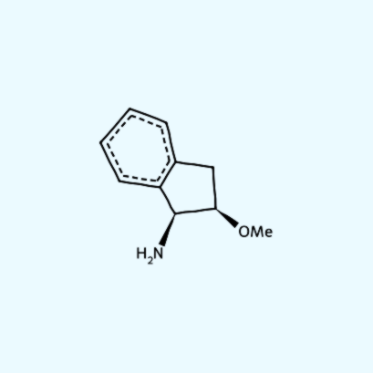 CO[C@@H]1Cc2ccccc2[C@@H]1N